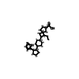 CCC1C(N2CCC(N3CCCC3c3ccn[nH]3)CC2)CC12CCN(C(=O)O)C2